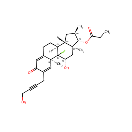 CCC(=O)O[C@H]1[C@H](C)C[C@H]2[C@@H]3CCC4=CC(=O)C(CC#CCO)=C[C@]4(C)[C@@]3(F)[C@@H](O)C[C@@]21C